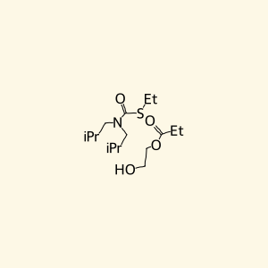 CCC(=O)OCCO.CCSC(=O)N(CC(C)C)CC(C)C